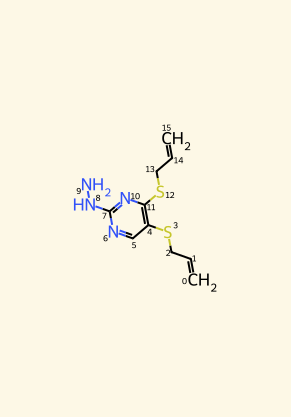 C=CCSc1cnc(NN)nc1SCC=C